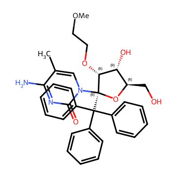 COCCO[C@@H]1[C@H](O)[C@@H](CO)O[C@]1(n1cc(C)c(N)nc1=O)C(c1ccccc1)(c1ccccc1)c1ccccc1